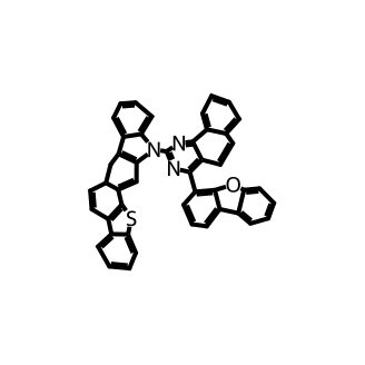 C1=CC2Cc3c(n(-c4nc(-c5cccc6c5oc5ccccc56)c5ccc6ccccc6c5n4)c4ccccc34)C=C2c2sc3ccccc3c21